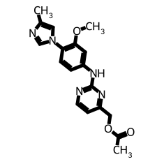 COc1cc(Nc2nccc(COC(C)=O)n2)ccc1-n1cnc(C)c1